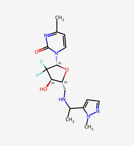 Cc1ccn([C@@H]2O[C@H](CNC(C)c3ccnn3C)[C@@H](O)C2(F)F)c(=O)n1